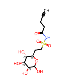 C#CCCC(=O)NS(=O)(=O)CC[C@H]1OC(O)[C@@H](O)[C@@H](O)[C@@H]1O